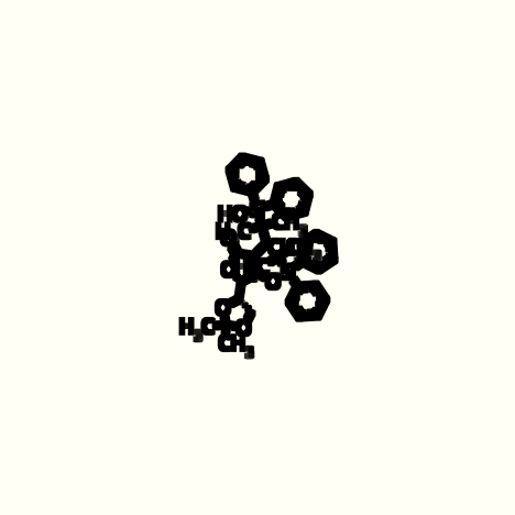 CC1(C)OC[C@@H]([C@H]2OC(=O)C(CC(C)(C)[Si](O)(c3ccccc3)c3ccccc3)=C2O[Si](c2ccccc2)(c2ccccc2)C(C)(C)C)O1